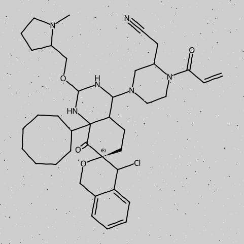 C=CC(=O)N1CCN(C2NC(OCC3CCCN3C)NC3(C4CCCCCCC4)C(=O)[C@@]4(CCC23)OCc2ccccc2C4Cl)CC1CC#N